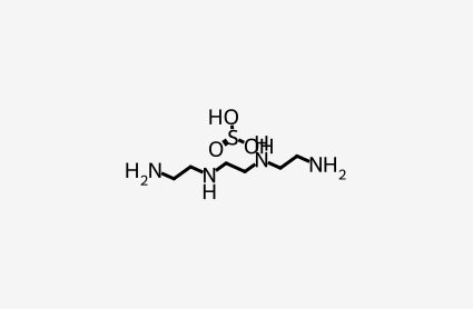 NCCNCCNCCN.O=S(O)O